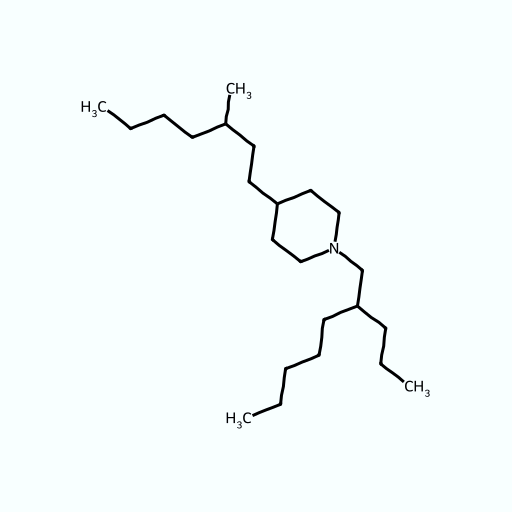 CCCCCC(CCC)CN1CCC(CCC(C)CCCC)CC1